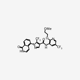 COCCOc1ncc(C(F)(F)F)cc1NC(=O)c1cnn(-c2cccc3c(=O)[nH]ccc23)c1C(F)(F)F